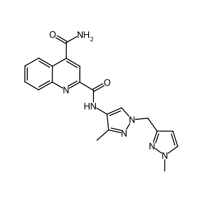 Cc1nn(Cc2ccn(C)n2)cc1NC(=O)c1cc(C(N)=O)c2ccccc2n1